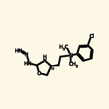 C[Si](C)(CC[C@H]1COC(NN=N)N1)c1cccc(Cl)c1